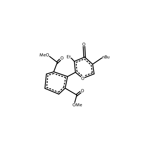 CCCCc1coc(-c2c(C(=O)OC)cccc2C(=O)OC)c(CC)c1=O